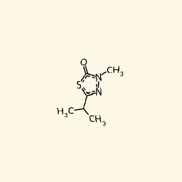 CC(C)c1nn(C)c(=O)s1